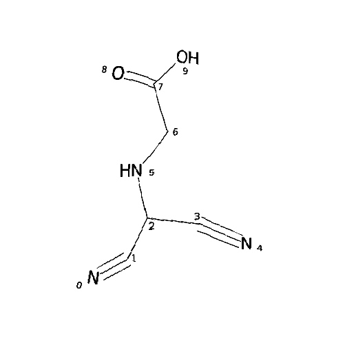 N#CC(C#N)NCC(=O)O